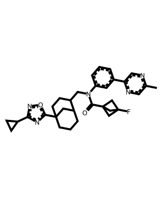 Cc1cnc(-c2cccc(N(CC3CCC4(c5nc(C6CC6)no5)CCCC3C4)C(=O)C34CC(F)(C3)C4)c2)cn1